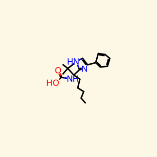 CCCCCC(NC(=O)O)(c1nc(-c2ccccc2)c[nH]1)C(C)(C)C